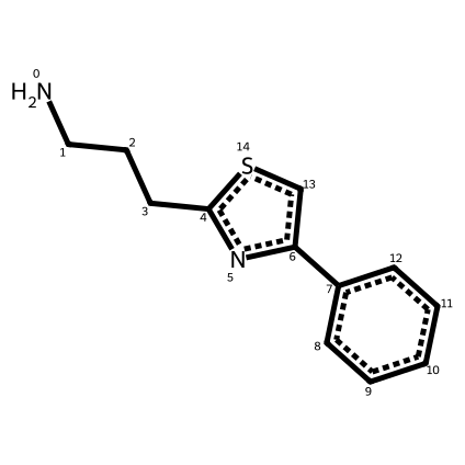 NCCCc1nc(-c2ccccc2)cs1